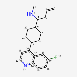 C=CCC(NC)C1CCC(c2ccnc3ccc(F)cc23)CC1